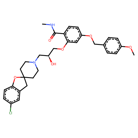 CNC(=O)c1ccc(OCc2ccc(OC)cc2)cc1OC[C@@H](O)CN1CCC2(CC1)Cc1cc(Cl)ccc1O2